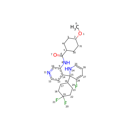 COC1CCC(C(=O)Nc2cnccc2C2(C3CCC(F)(F)CC3)NC=CC=C2F)CC1